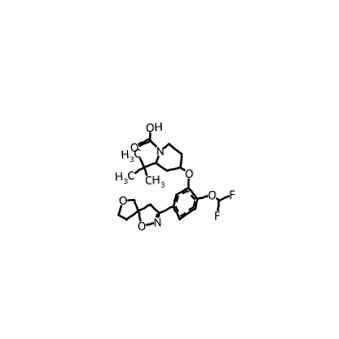 CC(C)(C)C1CC(Oc2cc(C3=NOC4(CCOC4)C3)ccc2OC(F)F)CCN1C(=O)O